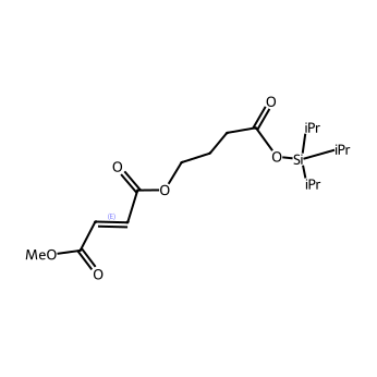 COC(=O)/C=C/C(=O)OCCCC(=O)O[Si](C(C)C)(C(C)C)C(C)C